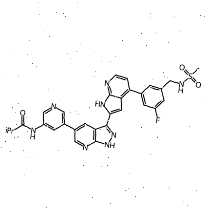 CC(C)C(=O)Nc1cncc(-c2cnc3[nH]nc(-c4cc5c(-c6cc(F)cc(CNS(C)(=O)=O)c6)ccnc5[nH]4)c3c2)c1